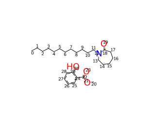 CCCCCCCCCCCCN1CCCCCC1=O.COC(=O)c1ccccc1O